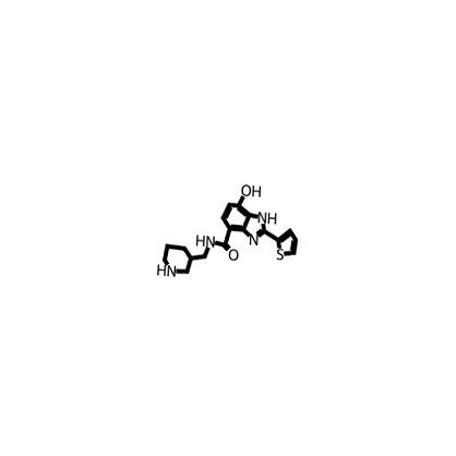 O=C(NCC1CCCNC1)c1ccc(O)c2[nH]c(-c3cccs3)nc12